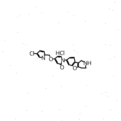 Cl.O=c1cc(OCc2ccc(Cl)cn2)ccn1-c1ccc2c3c(oc2c1)CCNC3